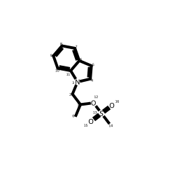 CC(Cn1ccc2ccccc21)OS(C)(=O)=O